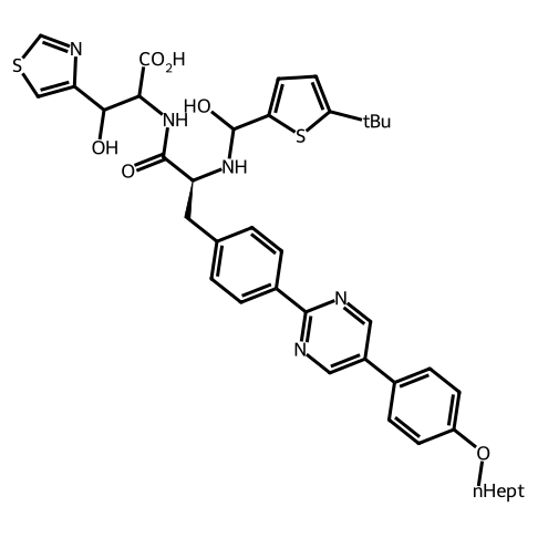 CCCCCCCOc1ccc(-c2cnc(-c3ccc(C[C@H](NC(O)c4ccc(C(C)(C)C)s4)C(=O)NC(C(=O)O)C(O)c4cscn4)cc3)nc2)cc1